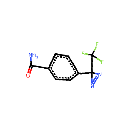 NC(=O)c1ccc(C2(C(F)(F)F)N=N2)cc1